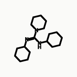 C1CCC(/N=C(\NC2CCCCC2)N2CCCCC2)CC1